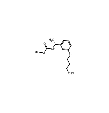 C[C@@H](NC(=O)OC(C)(C)C)c1cccc(OCCCC=O)c1